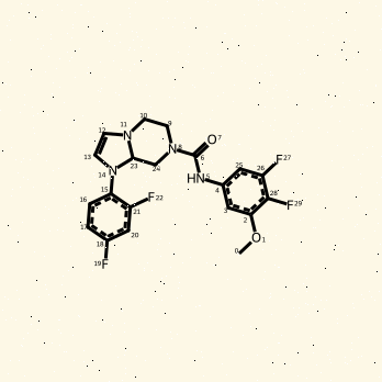 COc1cc(NC(=O)N2CCN3C=CN(c4ccc(F)cc4F)C3C2)cc(F)c1F